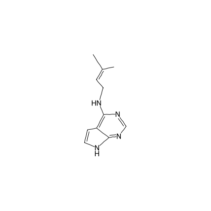 CC(C)=CCNc1ncnc2[nH]ccc12